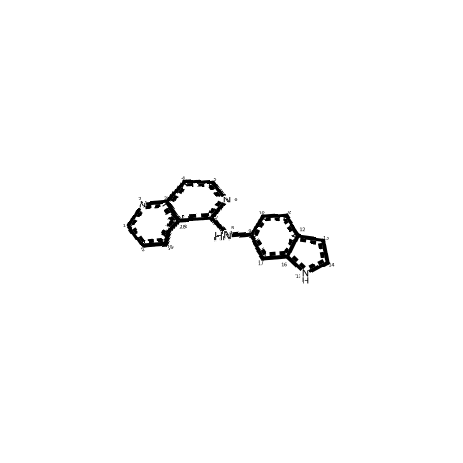 c1cnc2ccnc(Nc3ccc4cc[nH]c4c3)c2c1